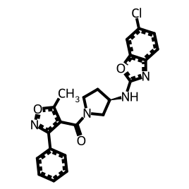 Cc1onc(-c2ccccc2)c1C(=O)N1CC[C@@H](Nc2nc3ccc(Cl)cc3o2)C1